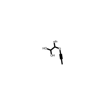 CC#COC(CCC)C(O)O